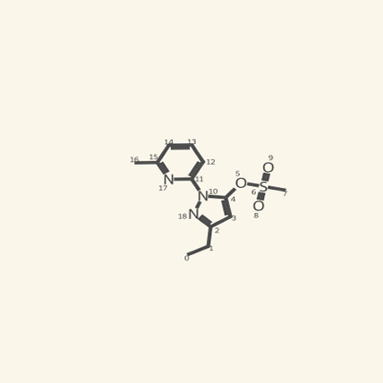 CCc1cc(OS(C)(=O)=O)n(-c2cccc(C)n2)n1